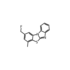 Cc1cc(CF)cc2c1sc1nc3ccccc3n12